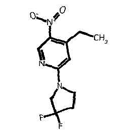 CCc1cc(N2CCC(F)(F)C2)ncc1[N+](=O)[O-]